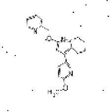 COc1ccc(-c2cc(OCc3ccccn3)nc3c2CCCC3)cn1